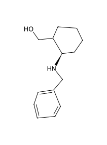 OCC1CCCC[C@H]1NCc1ccccc1